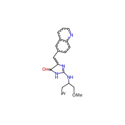 COCC(CC(C)C)NC1=N/C(=C\c2ccc3ncccc3c2)C(=O)N1